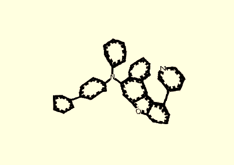 c1ccc(-c2ccc(N(c3ccccc3)c3cc4oc5cccc(-c6cccnc6)c5c4c4ccccc34)cc2)cc1